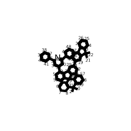 CC1(C)C2=C(C=CCC2)C2(c3ccc(-c4ccc5c(c4)C(C)(C)c4ccccc4-5)cc3-c3c(-c4cc(-c5ccccc5)nc(-c5ccccc5)c4)cccc32)c2ccccc21